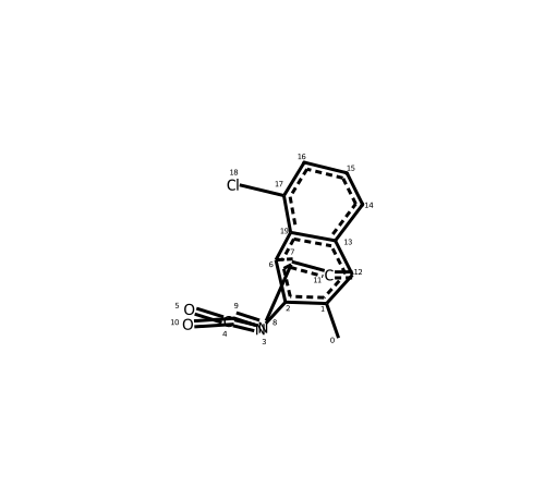 Cc1c(N=C=O)c2c(N=C=O)cc1c1cccc(Cl)c21